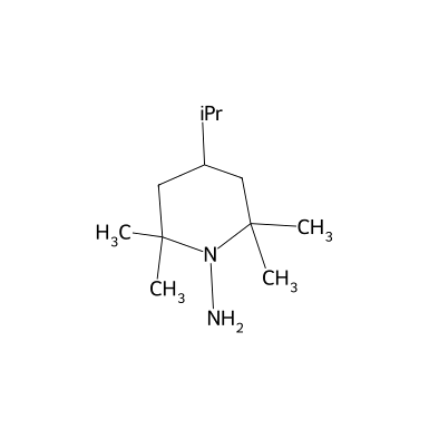 CC(C)C1CC(C)(C)N(N)C(C)(C)C1